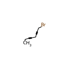 CCC#CCC#CCCBr